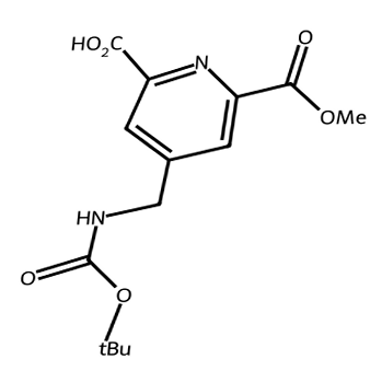 COC(=O)c1cc(CNC(=O)OC(C)(C)C)cc(C(=O)O)n1